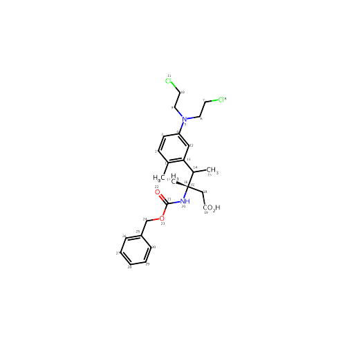 Cc1ccc(N(CCCl)CCCl)cc1C(C)[C@](C)(CC(=O)O)NC(=O)OCc1ccccc1